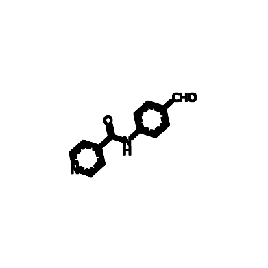 O=Cc1ccc(NC(=O)c2ccncc2)cc1